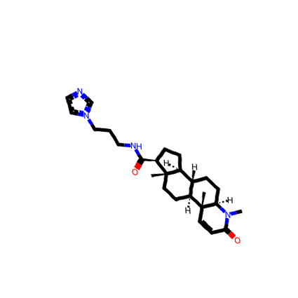 CN1C(=O)C=C[C@]2(C)[C@H]3CC[C@]4(C)[C@@H](C(=O)NCCCn5ccnc5)CC[C@H]4[C@@H]3CC[C@@H]12